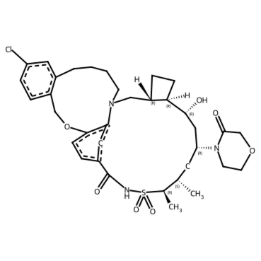 C[C@@H]1[C@@H](C)C[C@@H](N2CCOCC2=O)C[C@@H](O)[C@@H]2CC[C@H]2CN2CCCCc3cc(Cl)ccc3COc3ccc(cc32)C(=O)NS1(=O)=O